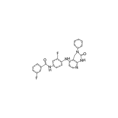 O=C(Nc1ccc(Nc2ccnc3c2CN(c2ccccc2)C(=O)N3)c(F)c1)c1cccc(F)c1